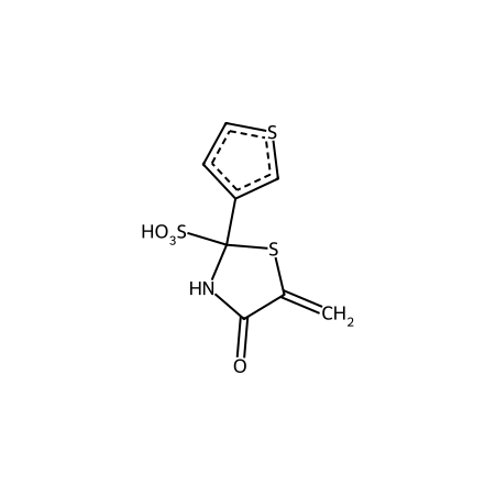 C=C1SC(c2ccsc2)(S(=O)(=O)O)NC1=O